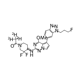 [2H]C([2H])([2H])C(=O)N1CC[C@@H](Nc2nc(OC)c3c(-c4ccc5nnn(CCCF)c5c4)ccn3n2)C(F)(F)C1